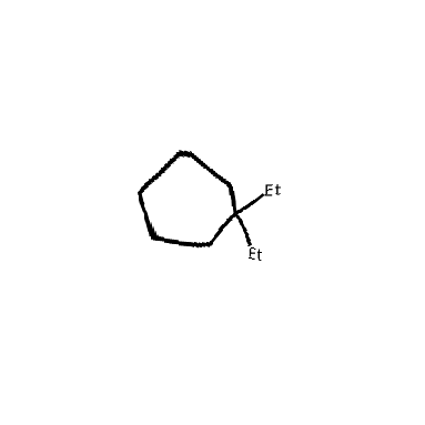 CCC1(CC)CCCCC1